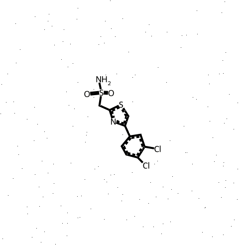 NS(=O)(=O)Cc1nc(-c2ccc(Cl)c(Cl)c2)cs1